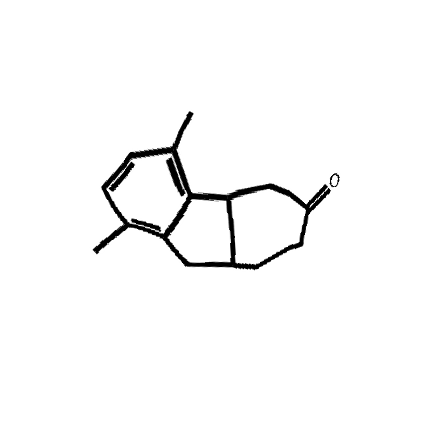 Cc1ccc(C)c2c1CC1CCC(=O)CC21